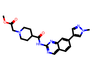 COC(=O)CN1CCC(C(=O)Nc2ncc3ccc(-c4cnn(C)c4)cc3n2)CC1